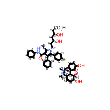 CC(C)c1c(C(=O)Nc2ccccc2)c(-c2ccccc2)c(-c2ccc(F)cc2)n1CC[C@@H](O)C[C@@H](O)CC(=O)O.CN1CC[C@]23c4c5ccc(O)c4O[C@H]2[C@@H](O)C=C[C@H]3[C@H]1C5